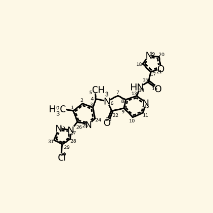 Cc1cc(C(C)N2Cc3c(ccnc3NC(=O)c3cnco3)C2=O)cnc1-n1cc(Cl)cn1